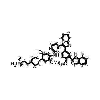 CCOc1ccc(-c2nc3ccccn3c2-c2ccnc(Nc3cc(C)c(N4CCC(CCS(C)(=O)=O)CC4)cc3OC)n2)cc1C(=O)Nc1c(F)cccc1F